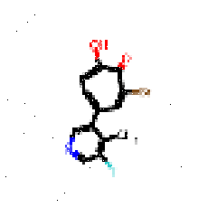 Cc1c(F)cncc1-c1ccc(O)c(=O)c(Br)c1